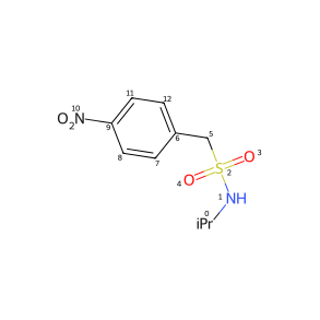 CC(C)NS(=O)(=O)Cc1ccc([N+](=O)[O-])cc1